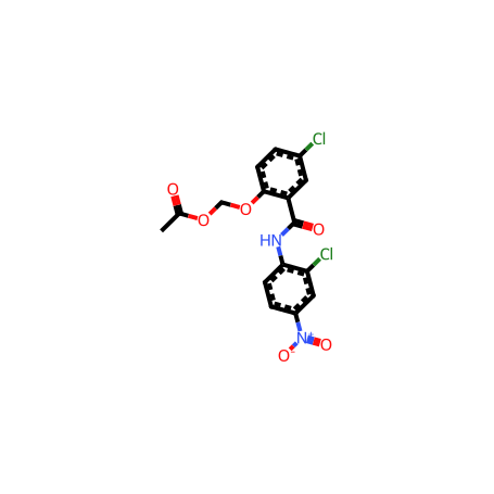 CC(=O)OCOc1ccc(Cl)cc1C(=O)Nc1ccc([N+](=O)[O-])cc1Cl